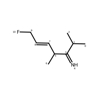 CC(C)C(=N)C(C)C=CCF